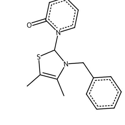 CC1=C(C)N(Cc2ccccc2)C(n2ccccc2=O)S1